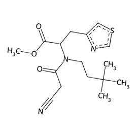 COC(=O)C(Cc1cscn1)N(CCC(C)(C)C)C(=O)CC#N